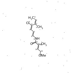 C\C=C(C)/C(Cl)=C\C=C\NC(=O)/C(C)=C/COC